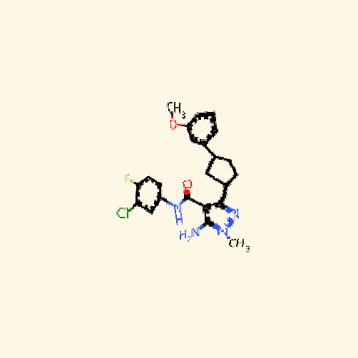 COc1cccc(C2CCC(c3nn(C)c(N)c3C(=O)Nc3ccc(F)c(Cl)c3)C2)c1